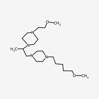 COCCCCCN1CCN(CC(C)N2CCN(CCOC)CC2)CC1